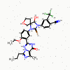 CCCc1nc(C)c2c(=O)[nH]c(-c3cc(N4C(=S)N(c5ccc(C#N)c(C(F)(F)F)c5)C(O)C45CCOC5)ccc3OCC)nn12